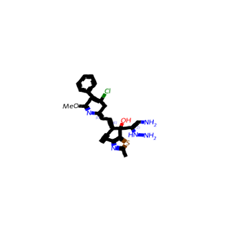 C#C/C(=C\C=C1/CC(Cl)=C(c2ccccc2)C(OC)=N1)C(O)(/C(=C/N)NN)c1sc(C)nc1C